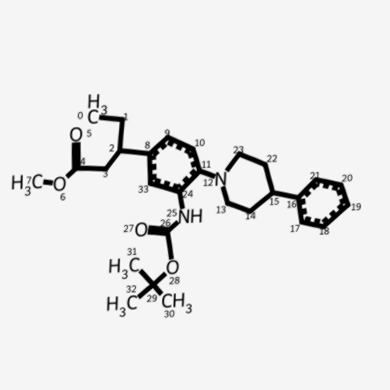 CCC(CC(=O)OC)c1ccc(N2CCC(c3ccccc3)CC2)c(NC(=O)OC(C)(C)C)c1